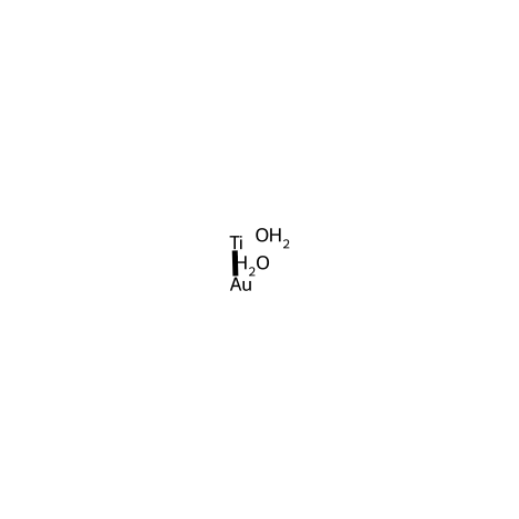 O.O.[Ti][Au]